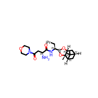 CC(C)C[C@H](NC(=O)[C@H](N)CC(=O)N1CCOCC1)B1O[C@@H]2C[C@@H]3C[C@@H](C3(C)C)[C@]2(C)O1